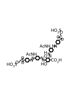 CC(=O)Nc1cc(N=Nc2c(O)cc(C(=O)O)c(N=Nc3ccc(N=Nc4ccc(S(=O)(=O)CCOS(=O)(=O)O)cc4)c(NC(C)=O)c3)c2O)ccc1N=Nc1ccc(S(=O)(=O)CCOS(=O)(=O)O)cc1